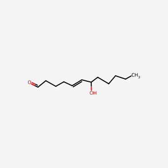 CCCCCC(O)C=CCCCC=O